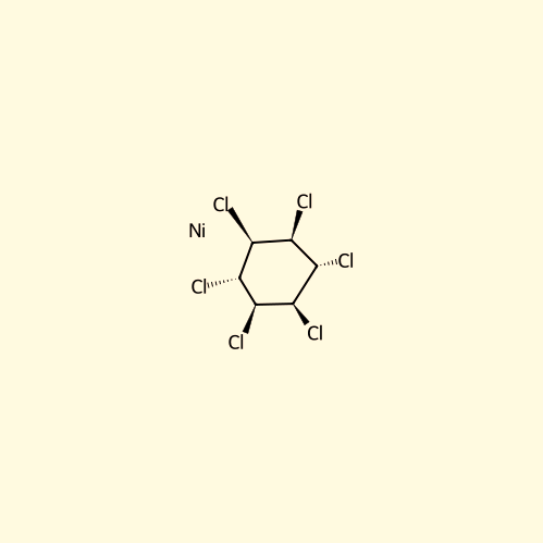 Cl[C@H]1[C@H](Cl)[C@@H](Cl)[C@@H](Cl)[C@H](Cl)[C@H]1Cl.[Ni]